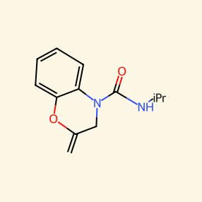 C=C1CN(C(=O)NC(C)C)c2ccccc2O1